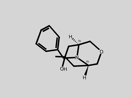 CC1(O)C[C@H]2COC[C@H](C1)N2Cc1ccccc1